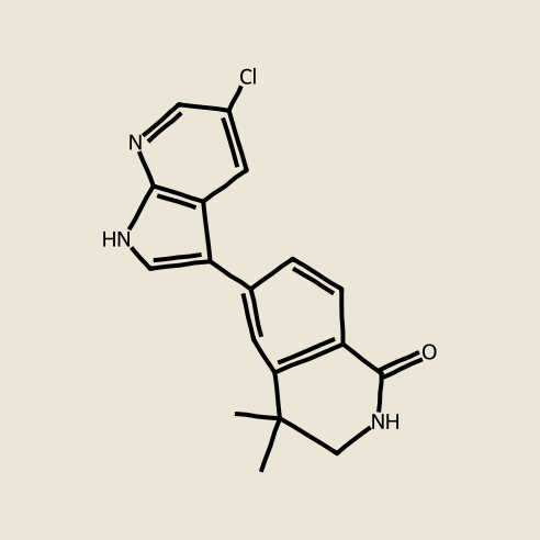 CC1(C)CNC(=O)c2ccc(-c3c[nH]c4ncc(Cl)cc34)cc21